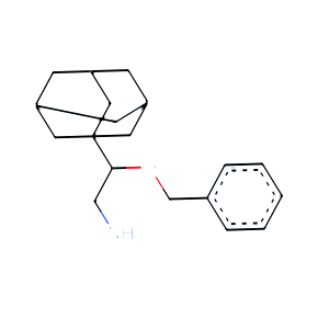 NCC(OCc1ccccc1)C12CC3CC(CC(C3)C1)C2